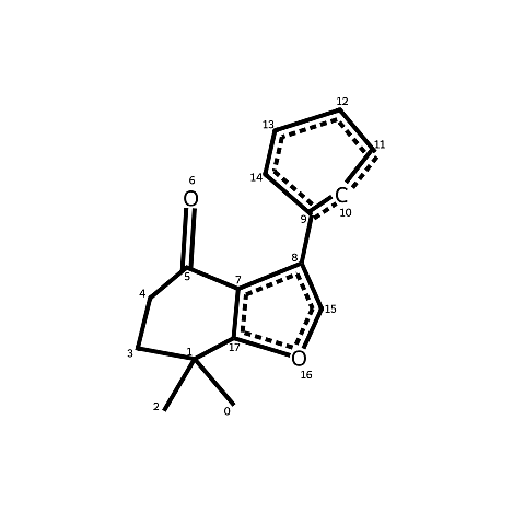 CC1(C)CCC(=O)c2c(-c3ccccc3)coc21